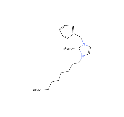 CCCCCCCCCCCCCCCCCN1C=CN(Cc2ccccc2)C1CCCCC